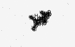 CC1C[C@@H]2OC(O[C@@H]3C[C@@H](OC(=O)c4ccccc4)[C@@H]4NC(=O)OCC4O3)C3C(OC(=O)N3C)C2O[C@@H]1O[C@@H]1C(NC(=O)OCc2ccccc2)C[C@@H](NC(=O)OCc2ccccc2)C(C)[C@H]1O